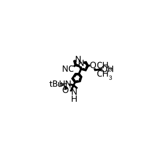 CC(C)(O)COc1cc(-c2ccc(C3(N[S+]([O-])C(C)(C)C)CNC3)cc2)c2c(C#N)cnn2c1